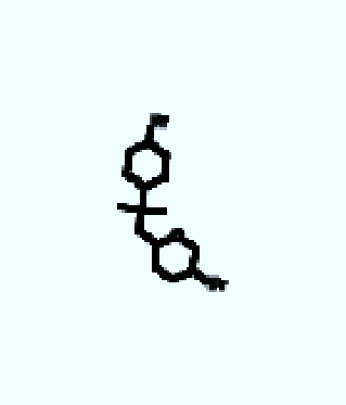 CC(C)C1CCC(C(C)(C)CC2CCC(C(C)C)CO2)CC1